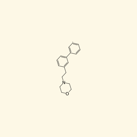 [c]1cccc(-c2cccc(CCN3CCOCC3)c2)c1